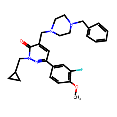 COc1ccc(-c2cc(CN3CCN(Cc4ccccc4)CC3)c(=O)n(CC3CC3)n2)cc1F